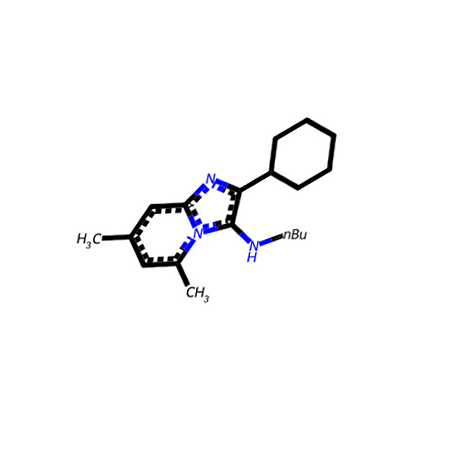 CCCCNc1c(C2CCCCC2)nc2cc(C)cc(C)n12